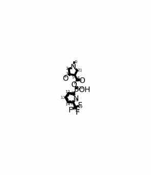 CN1CC(=O)C(C(=O)OB(O)c2cccc(C(F)(F)F)n2)C1